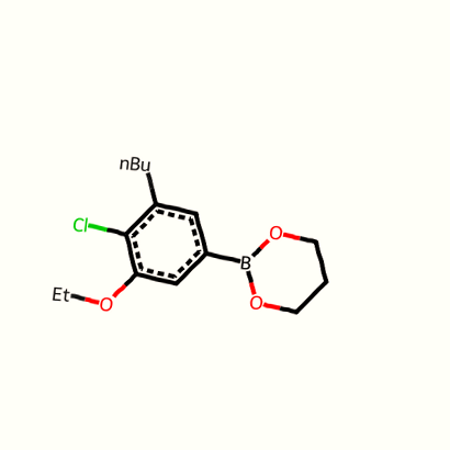 CCCCc1cc(B2OCCCO2)cc(OCC)c1Cl